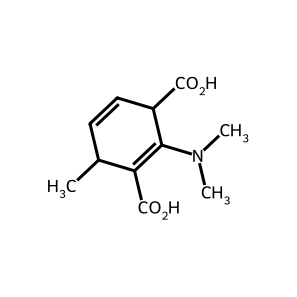 CC1C=CC(C(=O)O)C(N(C)C)=C1C(=O)O